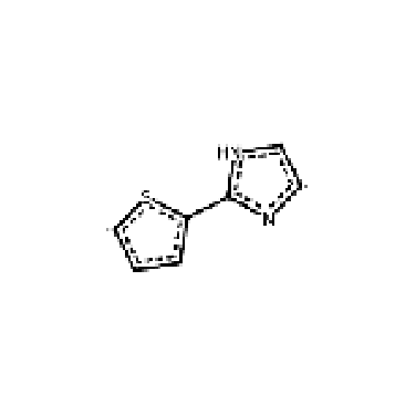 [c]1c[nH]c(-c2cc[c]s2)n1